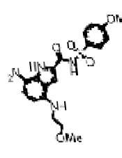 COCCNc1ccc([N+](=O)[O-])c2[nH]c(C(=O)NS(=O)(=O)c3ccc(OC)cc3)cc12